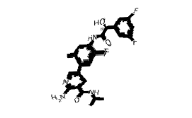 Cc1cc(NC(=O)[C@@H](O)c2cc(F)cc(F)c2)c(F)cc1-c1cnc(N)c(C(=O)NC(C)C)c1